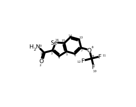 NC(=O)c1cc2cc(OC(F)(F)F)ccc2[se]1